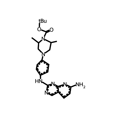 CC1CN(c2ccc(Nc3ncc4ccc(N)nc4n3)cc2)CC(C)N1C(=O)OC(C)(C)C